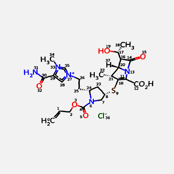 C=CCOC(=O)N1C[C@@H](SC2=C(C(=O)O)N3C(=O)[C@H]([C@@H](C)O)[C@H]3[C@H]2C)C[C@H]1CC[n+]1cc(C(N)=O)n(C)c1.[Cl-]